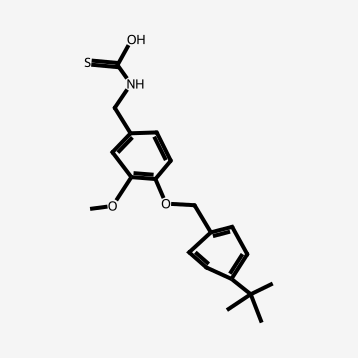 COc1cc(CNC(O)=S)ccc1OCc1ccc(C(C)(C)C)cc1